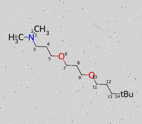 CN(C)CCCOCCCOCCCC(C)(C)C